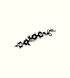 Cc1cc(N2CCN(C)CC2)ccc1NC(=O)c1ccc(C2=CCN(C=NC(=O)OC(C)(C)C)CC2)cc1